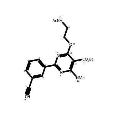 C#Cc1cccc(-c2nc(NC)c(C(=O)OCC)c(OCCNC(C)=O)n2)c1